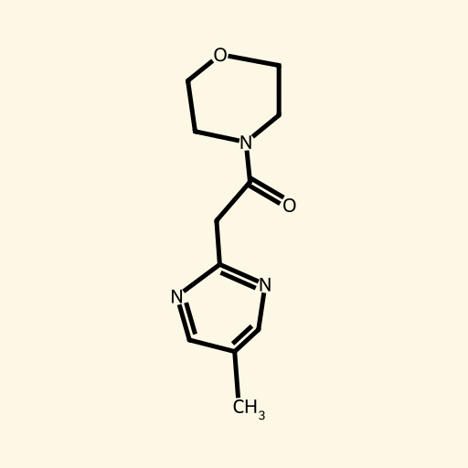 Cc1cnc(CC(=O)N2CCOCC2)nc1